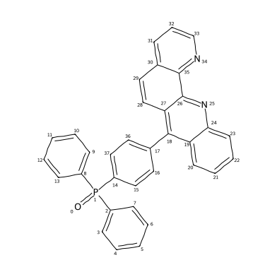 O=P(c1ccccc1)(c1ccccc1)c1ccc(-c2c3ccccc3nc3c2ccc2cccnc23)cc1